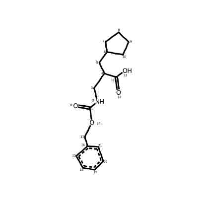 O=C(NCC(CC1CCCC1)C(=O)O)OCc1ccccc1